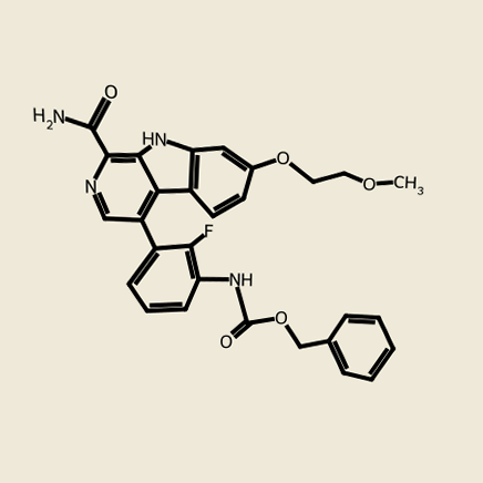 COCCOc1ccc2c(c1)[nH]c1c(C(N)=O)ncc(-c3cccc(NC(=O)OCc4ccccc4)c3F)c12